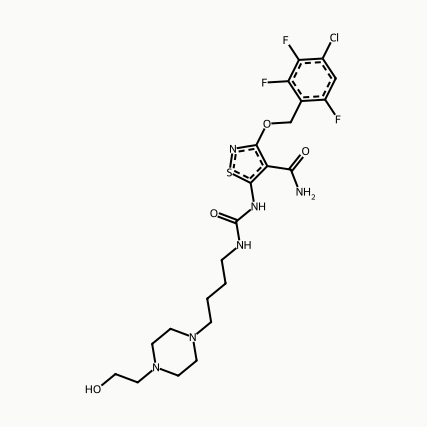 NC(=O)c1c(OCc2c(F)cc(Cl)c(F)c2F)nsc1NC(=O)NCCCCN1CCN(CCO)CC1